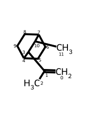 C=C(C)C1C2CCC(CC2)C1C